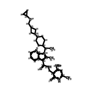 CSc1cc(C)[nH]c(=O)c1CNC(=O)c1c(C)n(C(C)C2CCC(N3CC(COC4CC4)C3)CC2)c2ncccc12